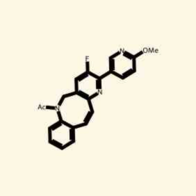 COc1ccc(-c2nc3c(cc2F)CN(C(C)=O)c2ccccc2/C=C\3)cn1